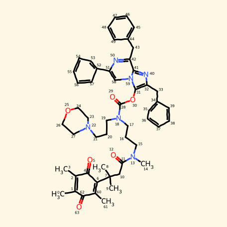 CC1=C(C)C(=O)C(C(C)(C)CC(=O)N(C)CCCN(CCCN2CCOCC2)C(=O)Oc2c(Cc3ccccc3)nc3c(Cc4ccccc4)nc(-c4ccccc4)cn23)=C(C)C1=O